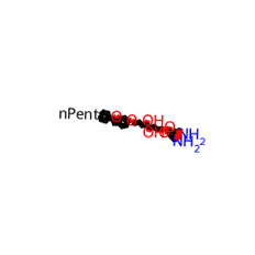 CCCCCc1ccc(-c2cc3ccc(OCCCC(O)C(O)CCCOC(=O)C(C)(CC(C)(C)N)C(C)(C)N)cc3o2)cc1